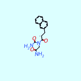 NC(=O)CN(C(N)=O)C(=O)[CH]Cc1ccc2ccccc2c1